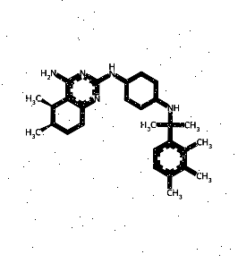 Cc1ccc(C(C)(C)NC2CCC(Nc3nc(N)c4c(n3)CC[C@@H](C)[C@H]4C)CC2)c(C)c1C